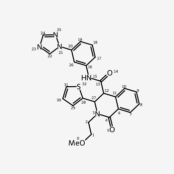 COCCN1C(=O)c2ccccc2C(C(=O)Nc2cccc(-n3cncn3)c2)C1c1cccs1